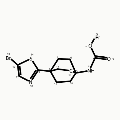 CC(C)OC(=O)NC12CCC(c3ncc(Br)s3)(CC1)CC2